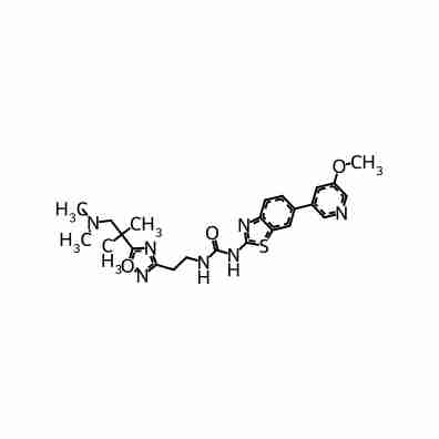 COc1cncc(-c2ccc3nc(NC(=O)NCCc4noc(C(C)(C)CN(C)C)n4)sc3c2)c1